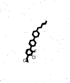 C/C=C/CCC1CCC(C2CC=C(c3ccc(C4CO4)c(Cl)c3F)CC2)CC1